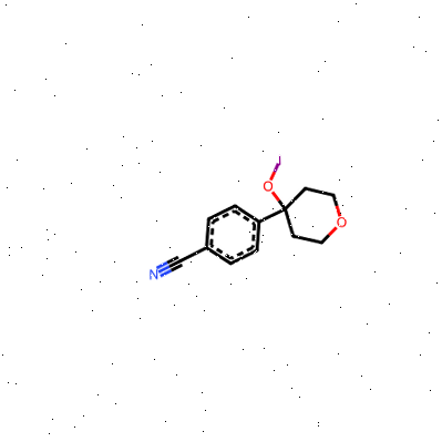 N#Cc1ccc(C2(OI)CCOCC2)cc1